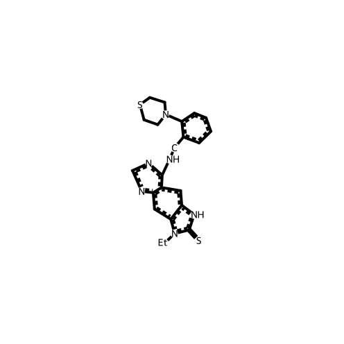 CCn1c(=S)[nH]c2cc3c(NCc4ccccc4N4CCSCC4)ncnc3cc21